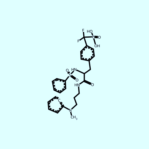 CN(CCCNC(=O)C(Cc1ccc(C(F)(F)P(=O)(O)O)cc1)NS(=O)(=O)c1ccccc1)c1ccccc1